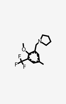 COc1c(CN2CCCC2)cc(C)cc1C(F)(F)F